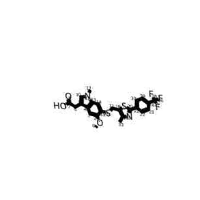 COc1cc2c(CC(=O)O)cn(C)c2cc1SCc1sc(-c2ccc(C(F)(F)F)cc2)nc1C